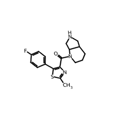 Cc1nc(C(=O)N2CCCC3CNCC32)c(-c2ccc(F)cc2)s1